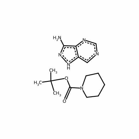 CC(C)(C)OC(=O)N1CCCCC1.Nc1n[nH]c2cncnc12